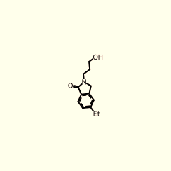 CCc1ccc2c(c1)CN(CCCO)C2=O